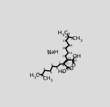 CC(C)CCCCC/C(C(=O)O)=C(\CCCCCC(C)C)C(=O)O.[NaH]